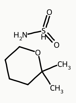 CC1(C)CCCCO1.N[SH](=O)=O